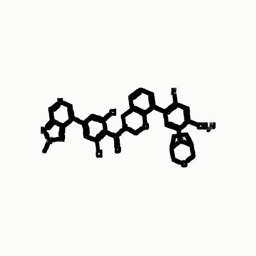 Cn1nc2cncc(-c3cc(Cl)c(C(=O)N4COc5c(cccc5-c5cc(N6C7CCC6COC7)c(C(=O)O)cc5F)C4)c(Cl)c3)c2n1